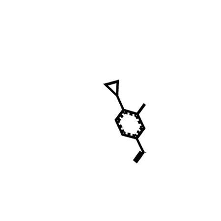 C=[C]c1ccc(C2CC2)c(C)c1